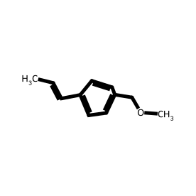 C/C=C/c1ccc(COC)cc1